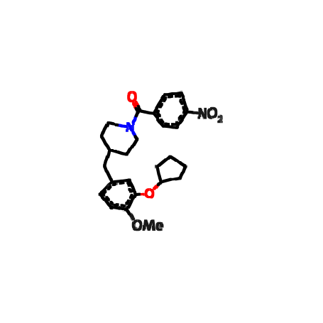 COc1ccc(CC2CCN(C(=O)c3ccc([N+](=O)[O-])cc3)CC2)cc1OC1CCCC1